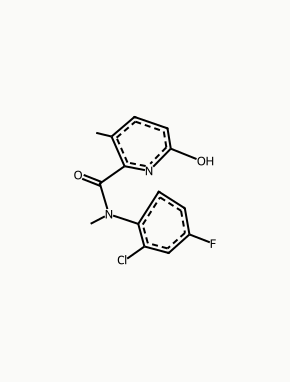 Cc1ccc(O)nc1C(=O)N(C)c1ccc(F)cc1Cl